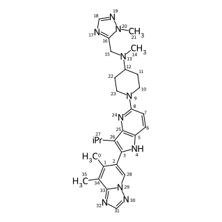 Cc1c(-c2[nH]c3ccc(N4CCC(N(C)Cc5ncnn5C)CC4)nc3c2C(C)C)cn2ncnc2c1C